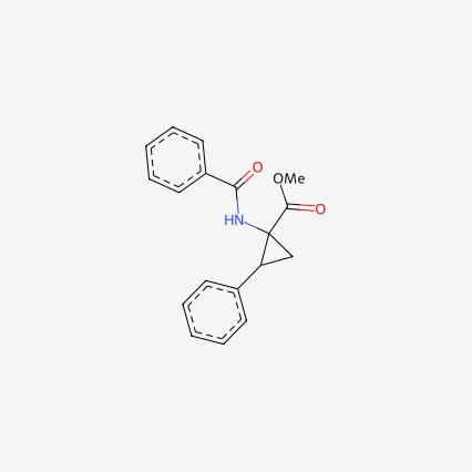 COC(=O)C1(NC(=O)c2ccccc2)CC1c1ccccc1